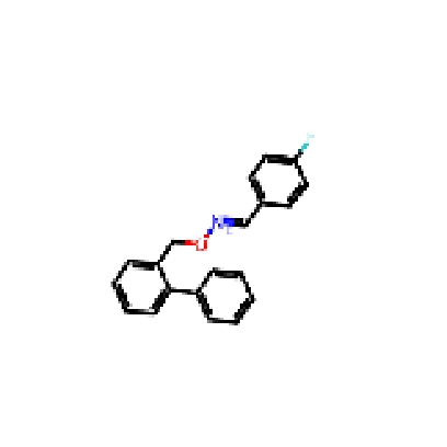 Fc1ccc(/[C]=N/OCc2ccccc2-c2ccccc2)cc1